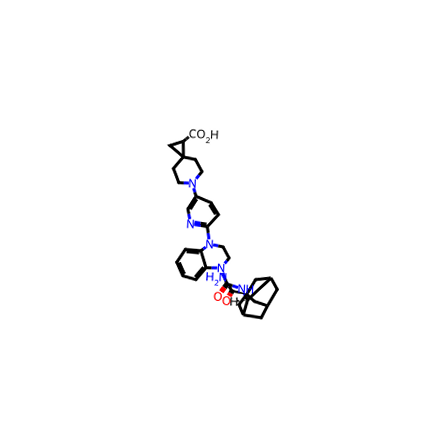 NC(=O)[C@]12CC3CC(C1)[C@H](NC(=O)N1CCN(c4ccc(N5CCC6(CC5)CC6C(=O)O)cn4)c4ccccc41)C(C3)C2